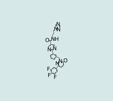 O=C(NCCCn1cncn1)c1cnc(-c2cccc(Cn3nc(-c4cc(F)c(F)c(F)c4)ccc3=O)c2)nc1